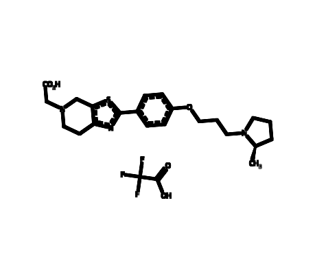 C[C@@H]1CCCN1CCCOc1ccc(-c2nc3c(s2)CN(CC(=O)O)CC3)cc1.O=C(O)C(F)(F)F